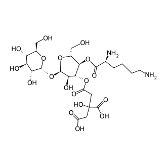 NCCCC[C@H](N)C(=O)O[C@H]1[C@H](OC(=O)CC(O)(CC(=O)O)C(=O)O)[C@@H](O)[C@@H](O[C@H]2O[C@H](CO)[C@@H](O)[C@H](O)[C@H]2O)O[C@@H]1CO